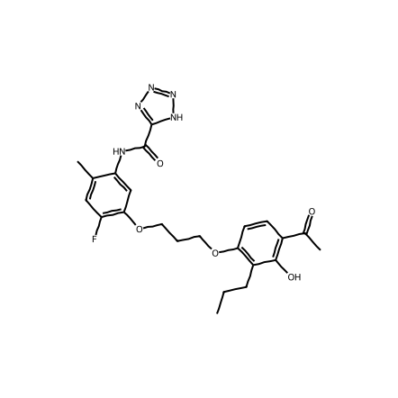 CCCc1c(OCCCOc2cc(NC(=O)c3nnn[nH]3)c(C)cc2F)ccc(C(C)=O)c1O